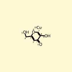 O=c1cc(CO)occ1O.[Cu]